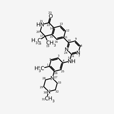 Cc1ccc(Nc2nccc(-c3ccc4c(c3)C(C)(C)CNC4=O)n2)cc1N1CCN(C)CC1